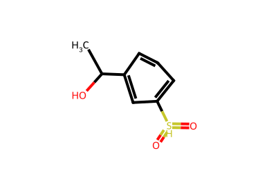 CC(O)c1cccc([SH](=O)=O)c1